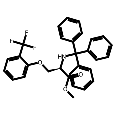 COC(=O)[C@@H](COc1ccccc1C(F)(F)F)NC(c1ccccc1)(c1ccccc1)c1ccccc1